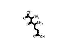 NC(CCC(=O)O)C(=O)C(N)C(=O)O